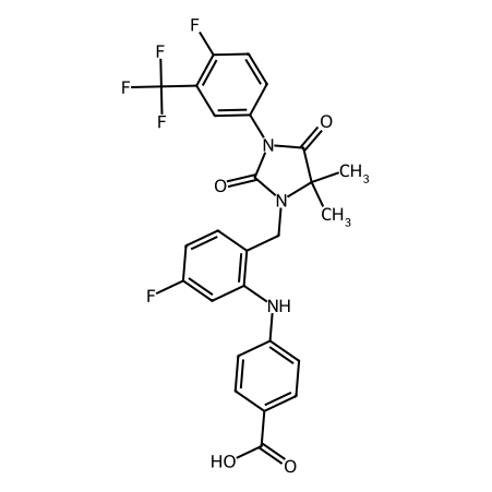 CC1(C)C(=O)N(c2ccc(F)c(C(F)(F)F)c2)C(=O)N1Cc1ccc(F)cc1Nc1ccc(C(=O)O)cc1